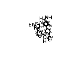 CCc1nc(Nc2cc(C3CCN(C4COC4)CC3)c(C)cc2C=N)cc(N2CCOC(CO)C2)n1